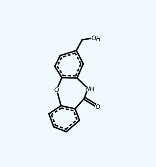 O=C1Nc2cc(CO)ccc2Oc2ccccc21